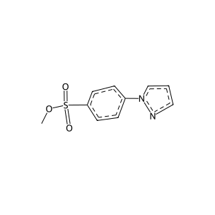 COS(=O)(=O)c1ccc(-n2cccn2)cc1